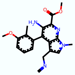 C=NCc1cn(C)c2nc(C(=O)OC)c(N)c(-c3cccc(OC)c3C)c12